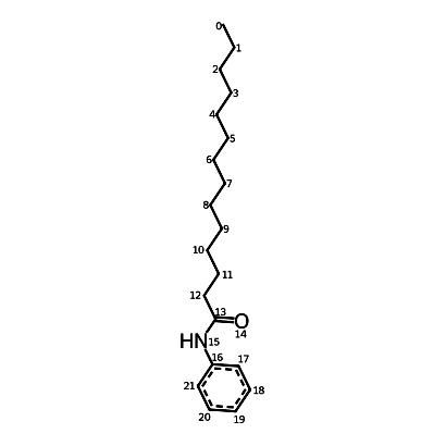 CCCCCCCCCCCCCC(=O)Nc1ccccc1